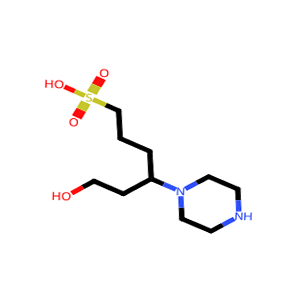 O=S(=O)(O)CCCC(CCO)N1CCNCC1